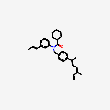 C=C/C(C)=C\C=C(/C)c1ccc(CN(C(=O)C2CCCCC2)c2cccc(/C=C/C)c2)cc1